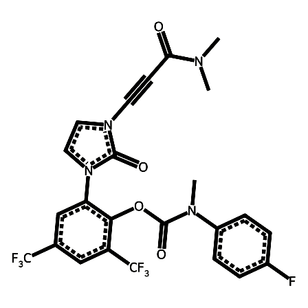 CN(C)C(=O)C#Cn1ccn(-c2cc(C(F)(F)F)cc(C(F)(F)F)c2OC(=O)N(C)c2ccc(F)cc2)c1=O